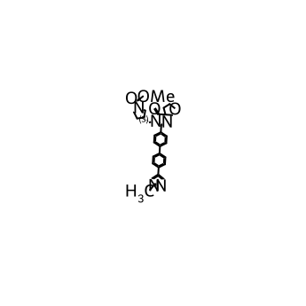 COC(=O)N1CC[C@@H](CN2C(=O)C3(CCOC3)N=C2c2ccc(-c3ccc(-c4cnn(C)c4)cc3)cc2)C1